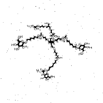 CC(=O)NC1[C@H](OCCCCCCOP(=O)(O)OCCCOCC(COCCCOP(=O)(O)OCCCCCCO[C@@H]2OC(CO)[C@H](O)[C@H](O)C2C)(COCCCOP(=O)(O)OCCCCCCO[C@@H]2OC(CO)[C@H](O)[C@H](O)C2C)COP(=O)(O)OCCOCC(CO)COCCCOC(C)C)OC(CO)[C@H](O)[C@@H]1O